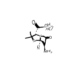 CC1(C)S[C@@H]2[C@H](N)C(=O)N2[C@H]1C(=O)O.Cl